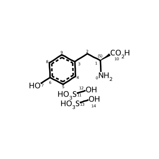 N[C@@H](Cc1ccc(O)cc1)C(=O)O.O=S(=O)(O)O.O=S(=O)(O)O